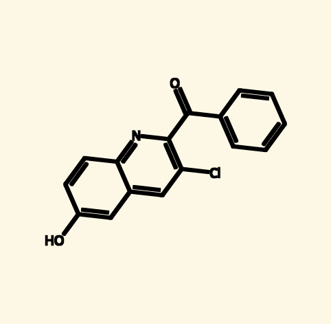 O=C(c1ccccc1)c1nc2ccc(O)cc2cc1Cl